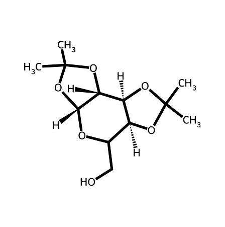 CC1(C)O[C@H]2OC(CO)[C@@H]3OC(C)(C)O[C@@H]3[C@H]2O1